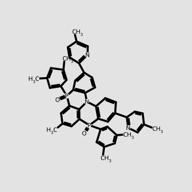 Cc1ccc(-c2ccc3c(c2)P(=O)(c2cc(C)cc(C)c2)c2cc(C)cc4c2N3c2ccc(-c3ccc(C)cn3)cc2P4(=O)c2cc(C)cc(C)c2)nc1